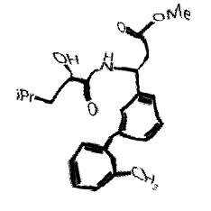 COC(=O)C[C@H](NC(=O)[C@H](O)CC(C)C)c1cccc(-c2ccccc2C)c1